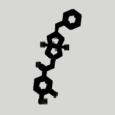 O=C(CN1C[C@H]2C[C@@H](Cc3ccccc3)C[C@H]2C1)c1ccc(O)c(F)c1